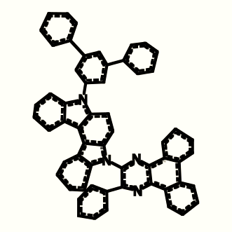 c1ccc(-c2cc(-c3ccccc3)cc(-n3c4ccccc4c4c5c6ccccc6n(-c6nc7c8ccccc8c8ccccc8c7nc6-c6ccccc6)c5ccc43)c2)cc1